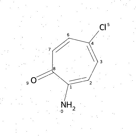 Nc1ccc(Cl)ccc1=O